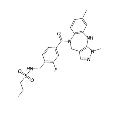 CCCS(=O)(=O)NCc1ccc(C(=O)N2Cc3cnn(C)c3Nc3cc(C)ccc32)cc1F